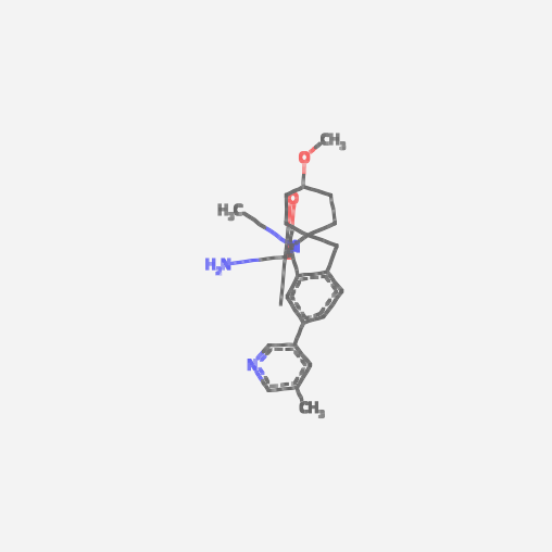 COC1CCC2(CC1)Cc1ccc(-c3cncc(C)c3)cc1C21N=C(N)N(C)C1=O